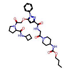 CCCCOC(=O)NC1CCN(C(=O)CNC(=O)c2cc(OCC(=O)N3CCCC3C(=O)NC3CCC3)n(-c3ccccc3)n2)CC1